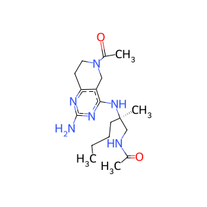 CCCC[C@](C)(CNC(C)=O)Nc1nc(N)nc2c1CN(C(C)=O)CC2